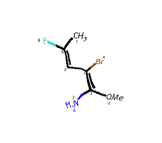 CO/C(N)=C(Br)/C=C(\C)F